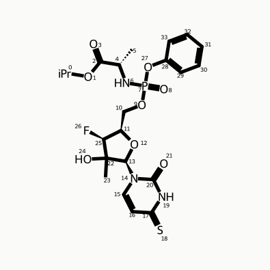 CC(C)OC(=O)[C@H](C)NP(=O)(OC[C@H]1O[C@@H](n2ccc(=S)[nH]c2=O)C(C)(O)[C@H]1F)Oc1ccccc1